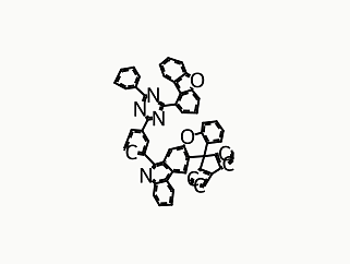 c1ccc(-c2nc(-c3cccc(-c4nc5ccccc5c5cc6c(cc45)Oc4ccccc4C64c5ccccc5-c5ccccc54)c3)nc(-c3cccc4oc5ccccc5c34)n2)cc1